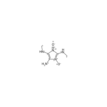 CNC1=C(N)[N+]([O-])=C(NC)[NH+]1[O-]